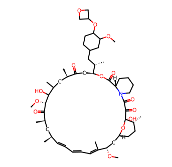 COC1CC(C[C@H](C)[C@@H]2CC(=O)[C@H](C)CC(C)C(O)[C@@H](OC)C(=O)[C@H](C)C[C@H](C)/C=C/C=C/C=C(\C)[C@@H](OC)C[C@@H]3CC[C@@H](C)[C@@](O)(O3)C(=O)C(=O)N3CCCC[C@H]3C(=O)O2)CCC1OC1COC1